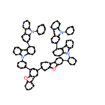 c1ccc(-n2c3ccccc3c3ccc(-c4cccc5c4c4ccccc4n5-c4cccc(-c5cc(-c6ccc7c(c6)oc6cc(-c8ccccc8-n8c9ccccc9c9c(-c%10ccc%11c%12ccccc%12n(-c%12ccccc%12)c%11c%10)cccc98)ccc67)cc6c5oc5ccccc56)c4)cc32)cc1